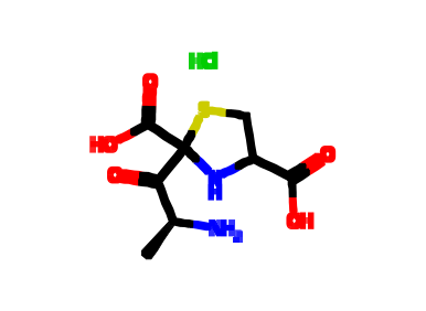 C[C@H](N)C(=O)C1(C(=O)O)NC(C(=O)O)CS1.Cl